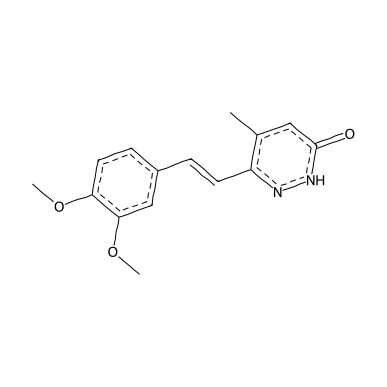 COc1ccc(C=Cc2n[nH]c(=O)cc2C)cc1OC